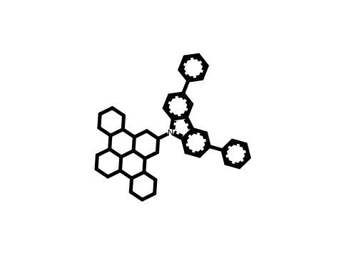 c1ccc(-c2ccc3c(c2)c2cc(-c4ccccc4)ccc2n3C2CC3C4CCCCC4C4CCCC5C6CCCCC6C(C2)C3C45)cc1